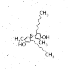 CCCCCCCCc1cc(O)c(C)cc1Sc1cc(C)c(O)cc1CCCCCCCC